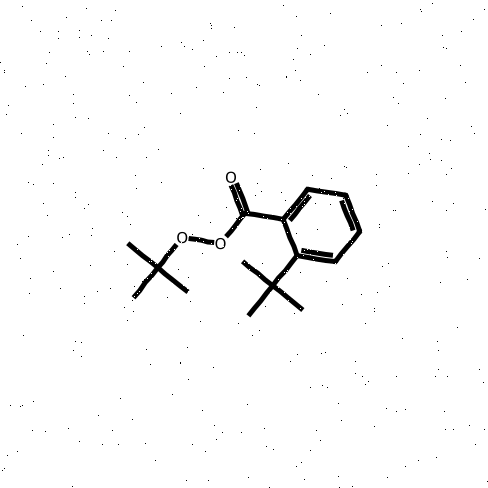 CC(C)(C)OOC(=O)c1ccccc1C(C)(C)C